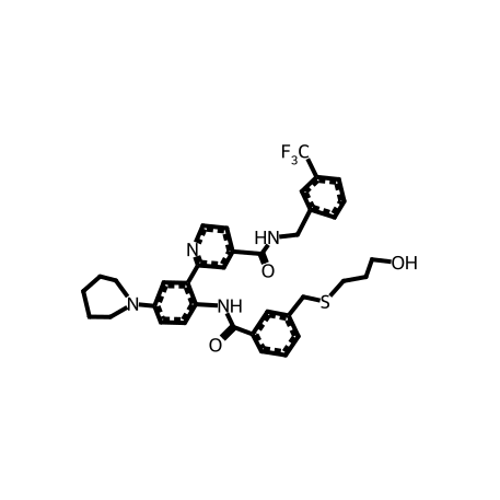 O=C(NCc1cccc(C(F)(F)F)c1)c1ccnc(-c2cc(N3CCCCC3)ccc2NC(=O)c2cccc(CSCCCO)c2)c1